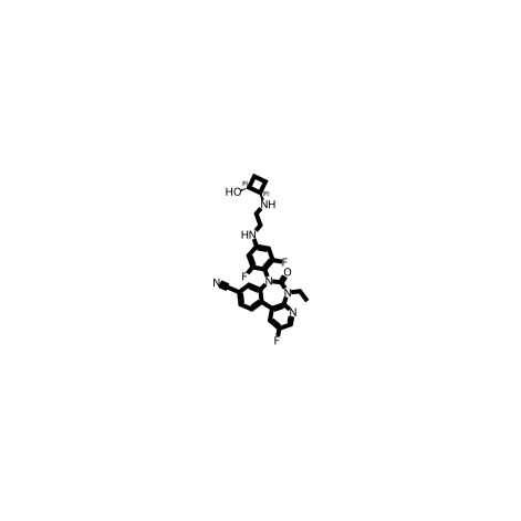 CCN1C(=O)N(c2c(F)cc(NCCN[C@@H]3CC[C@H]3O)cc2F)c2cc(C#N)ccc2-c2cc(F)cnc21